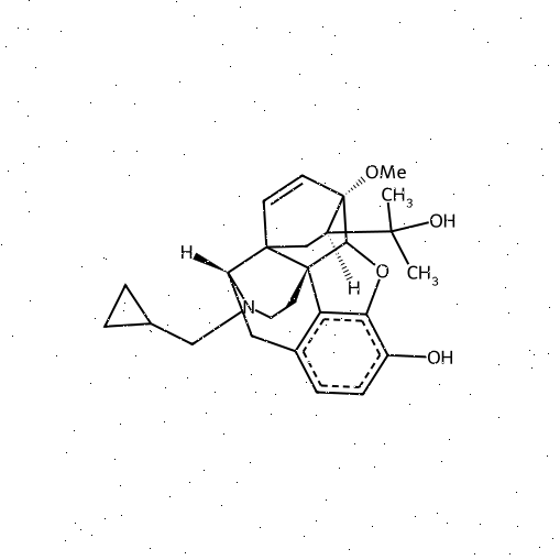 CO[C@@]12C=CC3(C[C@@H]1C(C)(C)O)[C@H]1Cc4ccc(O)c5c4[C@@]3(CCN1CC1CC1)C2O5